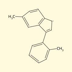 Cc1ccc2c(c1)C(c1ccccc1C)=C[C]2